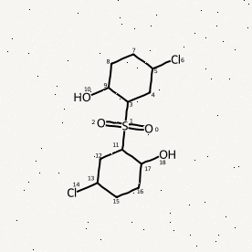 O=S(=O)(C1CC(Cl)CCC1O)C1CC(Cl)CCC1O